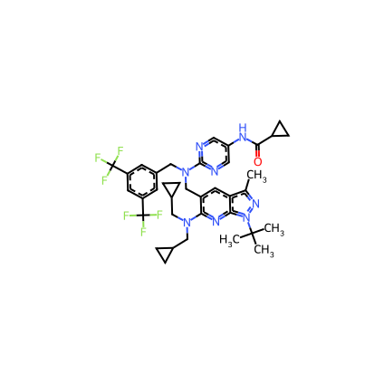 Cc1nn(C(C)(C)C)c2nc(N(CC3CC3)CC3CC3)c(CN(Cc3cc(C(F)(F)F)cc(C(F)(F)F)c3)c3ncc(NC(=O)C4CC4)cn3)cc12